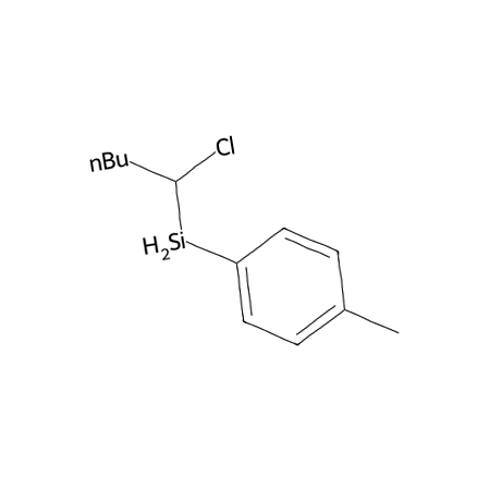 CCCCC(Cl)[SiH2]c1ccc(C)cc1